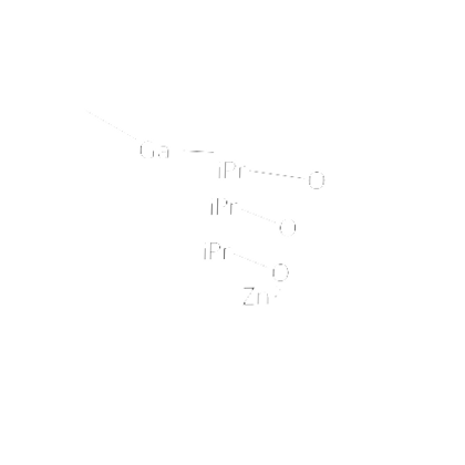 CC(C)[O-].CC(C)[O-].CC(C)[O-].[CH3][Ga+][CH3].[Zn+2]